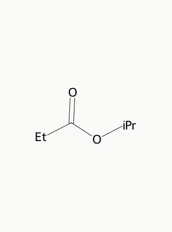 [CH2]C(C)OC(=O)CC